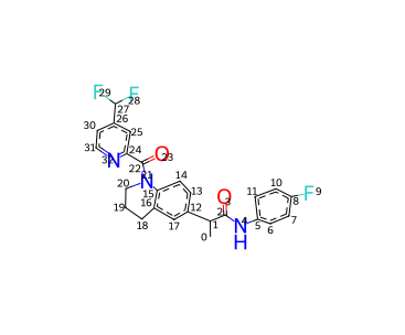 CC(C(=O)Nc1ccc(F)cc1)c1ccc2c(c1)CCCN2C(=O)c1cc(C(F)F)ccn1